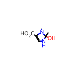 CN1C(C(=O)O)=CNC1(C)O